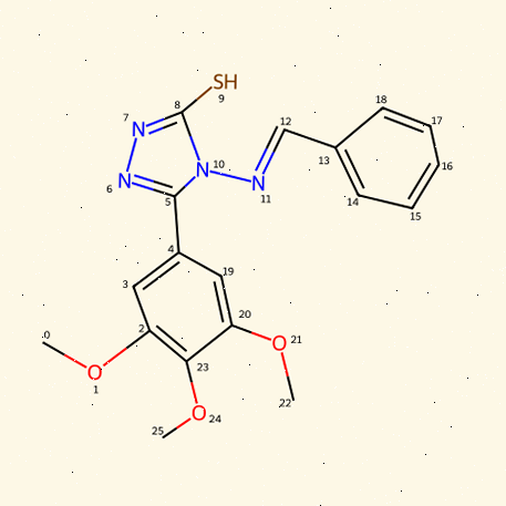 COc1cc(-c2nnc(S)n2/N=C/c2ccccc2)cc(OC)c1OC